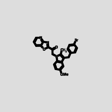 COc1ccc2c(c1)c(Cc1ccc(Br)cc1)c(C)n2CC(=O)c1nc2ncccc2o1